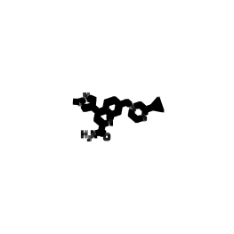 Cn1cc(-c2cc(C(N)=O)nc3cc(CN4CCSC(C5CC5)C4)ccc23)cn1